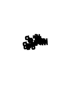 [2H]C([2H])([2H])Oc1ncc(-c2cc3c(n2C(C)C)C(c2ccc(Cl)cc2)N(c2cc(Cl)c(=O)n(C)c2)C3=O)c(OC([2H])([2H])[2H])n1